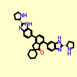 O=C1c2c(-c3ccc4nc([C@@H]5CCCN5)[nH]c4c3)ccc(-c3ccc4nc([C@@H]5CCCN5)[nH]c4c3)c2CC12CCCCC2